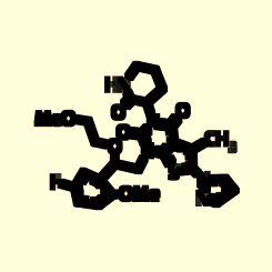 COCCOC(Cn1c(=O)n(C2CCCNC2=O)c(=O)c2c(C)c(-n3cccn3)sc21)c1cc(F)ccc1OC